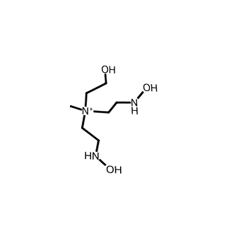 C[N+](CCO)(CCNO)CCNO